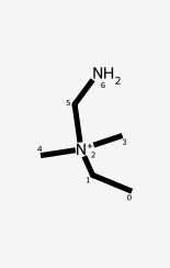 CC[N+](C)(C)CN